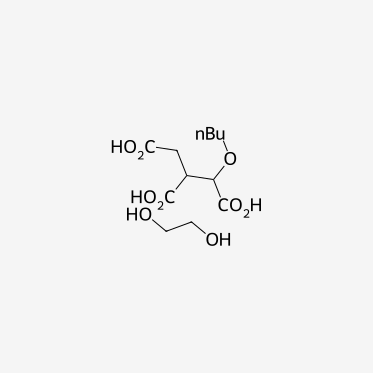 CCCCOC(C(=O)O)C(CC(=O)O)C(=O)O.OCCO